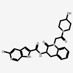 O=C(NC1Cc2ccccc2N(CC(=O)N2CCC(O)CC2)C1=O)c1cc2cc(Cl)ncc2[nH]1